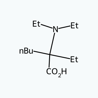 CCCCC(CC)(C(=O)O)N(CC)CC